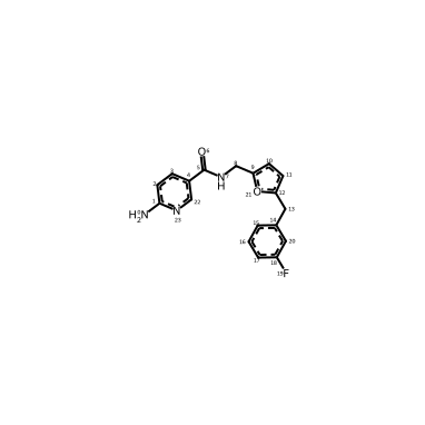 Nc1ccc(C(=O)NCc2ccc(Cc3cccc(F)c3)o2)cn1